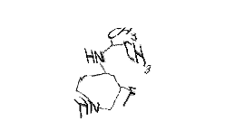 CC(C)NC1CCNCC(F)C1